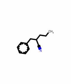 CCCC(C#N)Cc1ccccc1